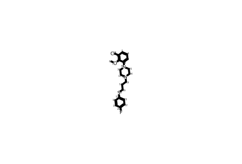 COc1c(Cl)cccc1N1CCN(CCCSc2ccc(F)cc2)CC1